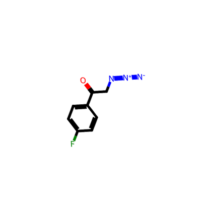 [N-]=[N+]=NCC(=O)c1ccc(F)cc1